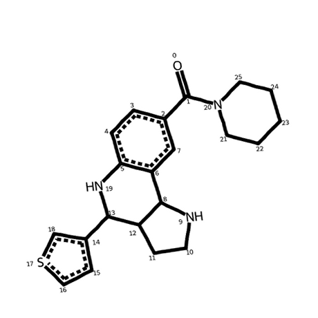 O=C(c1ccc2c(c1)C1NCCC1C(c1ccsc1)N2)N1CCCCC1